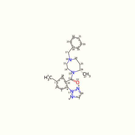 Cc1ccc(-n2nccn2)c(C(=O)N2CCN(Cc3ccccc3)CC[C@@H]2C)c1